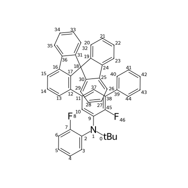 CC(C)(C)N(c1ccccc1F)c1cc(-c2cccc3c2C2(c4ccccc4-c4ccccc42)c2ccccc2-3)cc(-c2ccccc2)c1F